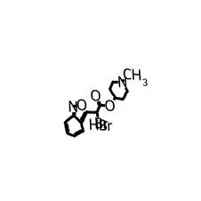 Br.CN1CCC(OC(=O)C(Br)c2onc3ccccc23)CC1